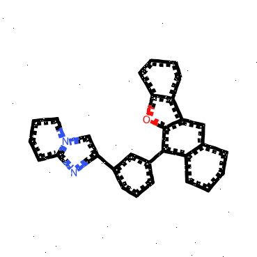 c1cc(-c2cn3ccccc3n2)cc(-c2c3ccccc3cc3c2oc2ccccc23)c1